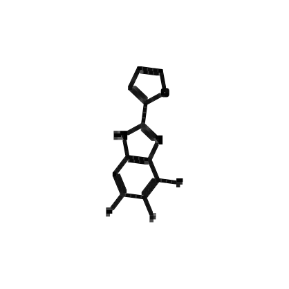 Fc1cc2[nH]c(-c3ccco3)nc2c(F)c1F